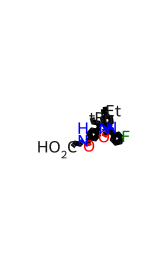 CCC(C)(C)C1CCC2(CC1)N=C(c1cccc(F)c1)C(=O)N2C(CCC(C)(C)C)c1ccc(C(=O)NCCC(=O)O)cc1